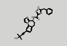 CC(C)(O)C#Cc1ccc2c(c1)-n1ccnc1[C@@H](NC(=O)c1n[nH]c(Cc3ccccc3)n1)CC2